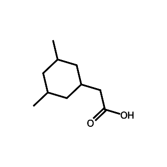 CC1CC(C)CC(CC(=O)O)C1